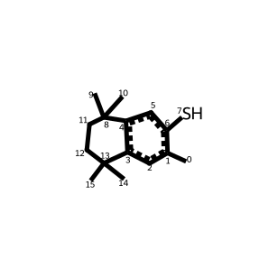 Cc1cc2c(cc1S)C(C)(C)CCC2(C)C